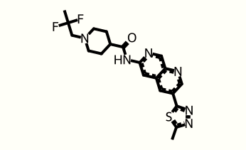 Cc1nnc(-c2cnc3cnc(NC(=O)C4CCN(CC(C)(F)F)CC4)cc3c2)s1